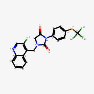 O=C1CN(Cc2c(F)cnc3ccccc23)C(=O)N1c1ccc(SC(F)(F)F)cc1